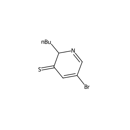 CCCCC1N=CC(Br)=CC1=S